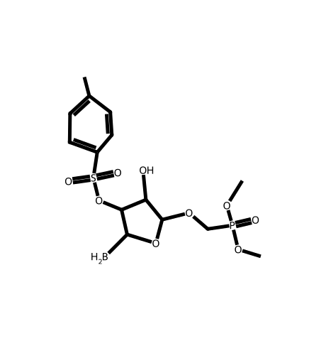 BC1OC(OCP(=O)(OC)OC)C(O)C1OS(=O)(=O)c1ccc(C)cc1